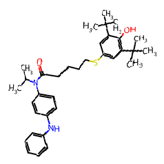 CC(C)N(C(=O)CCCCSc1cc(C(C)(C)C)c(O)c(C(C)(C)C)c1)c1ccc(Nc2ccccc2)cc1